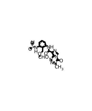 Cn1nnc2c(C(=O)Nc3cccc(N[SH](=O)=O)c3COC=O)ncn2c1=O